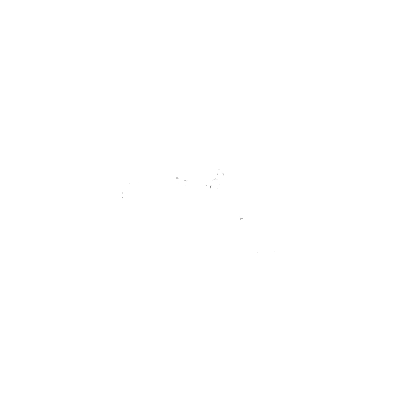 CCCCC/C=C\C/C=C\CCCCCCCC(=O)OCCOCCOc1cc(CN(C)C)cc(OCCOCCOC(=O)CCCCCCC/C=C\C/C=C\CCCCC)c1